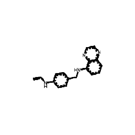 C=CNc1ccc(CNc2cccc3nccnc23)cc1